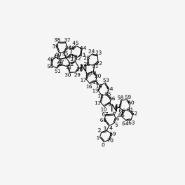 c1ccc(-c2ccc(N(c3ccc4cc(-c5ccc6c(c5)c5ccccc5n6-c5ccc6c(c5)C(c5ccccc5)(c5ccccc5)c5ccccc5-6)ccc4c3)c3cccc4ccccc34)cc2)cc1